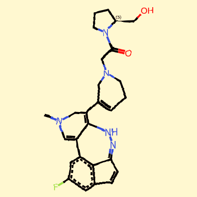 CN1C=C2C(=C(C3=CCCN(CC(=O)N4CCC[C@H]4CO)C3)C1)NN=C1C=Cc3cc(F)cc2c31